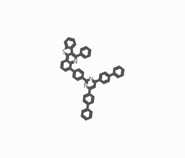 c1ccc(-c2ccc(-c3cc(-c4ccc(-c5ccccc5)cc4)nc(-c4ccc(-c5cccc6c5nc(-c5ccccc5)c5c7ccccc7sc65)cc4)n3)cc2)cc1